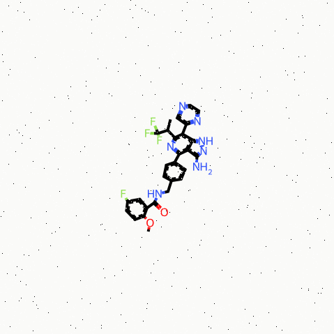 COc1ccc(F)cc1C(=O)NCc1ccc(-c2nc(C(C)C(F)(F)F)c(-c3cnccn3)c3[nH]nc(N)c23)cc1